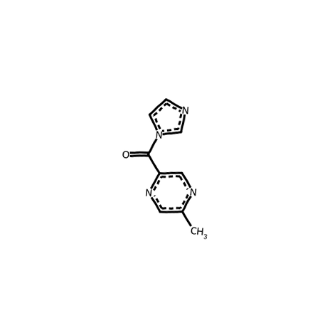 Cc1cnc(C(=O)n2ccnc2)cn1